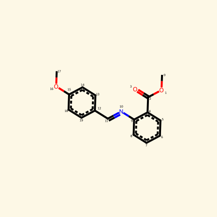 COC(=O)c1ccccc1/N=C/c1ccc(OC)cc1